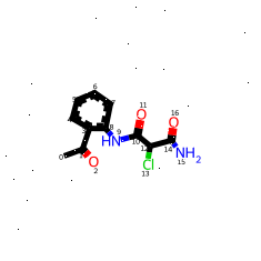 CC(=O)c1ccccc1NC(=O)C(Cl)C(N)=O